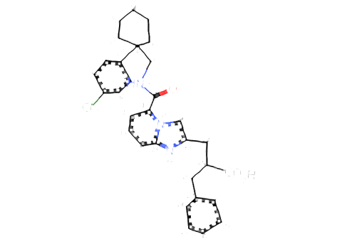 O=C(NCC1(c2ccc(Cl)cc2)CCCCC1)c1cccc2nc(CC(Cc3ccccc3)C(=O)O)cn12